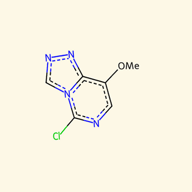 COc1cnc(Cl)n2cnnc12